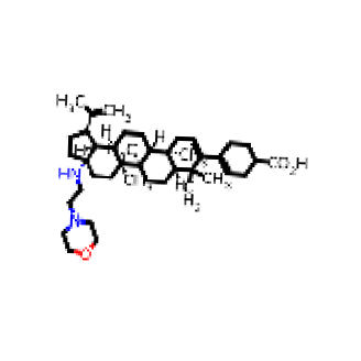 C=C(C)[C@@H]1CC[C@]2(NCCN3CCOCC3)CC[C@]3(C)[C@H](CC[C@@H]4[C@@]5(C)CC=C(C6=CCC(C(=O)O)CC6)C(C)(C)[C@@H]5CC[C@]43C)[C@@H]12